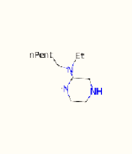 CCCCCCN(CC)C1CNCC[N]1